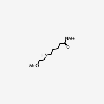 CNC(=O)CCCCNCCOC